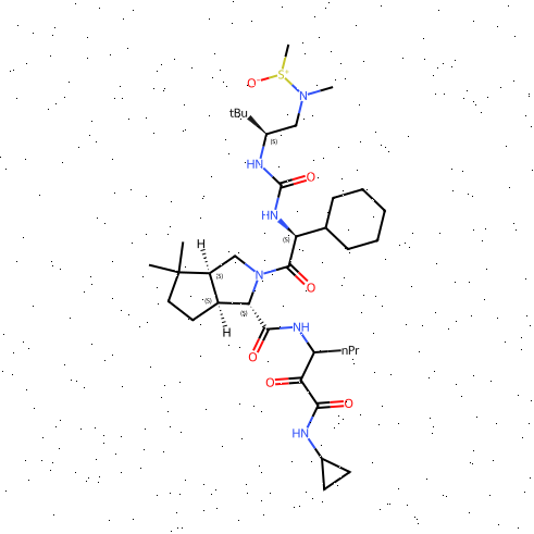 CCCC(NC(=O)[C@@H]1[C@H]2CCC(C)(C)[C@H]2CN1C(=O)[C@@H](NC(=O)N[C@H](CN(C)[S+](C)[O-])C(C)(C)C)C1CCCCC1)C(=O)C(=O)NC1CC1